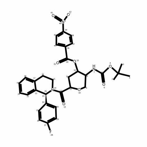 CC(C)(C)OC(=O)NC1COC(C(=O)N2CCc3ccccc3[C@@H]2c2ccc(F)cc2)CC1OC(=O)c1ccc([N+](=O)[O-])cc1